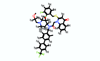 [2H]c1c([2H])c(F)c(F)c(CSc2c([2H])c(=O)c3c([2H])c([2H])c([2H])c([2H])c3n2CC(=O)N(C([2H])([2H])c2c([2H])c([2H])c(-c3c([2H])c([2H])c(C(F)(F)F)c([2H])c3[2H])c([2H])c2C)C2([2H])C([2H])([2H])C([2H])([2H])N(CC([2H])([2H])OC)C([2H])([2H])C2([2H])[2H])c1[2H]